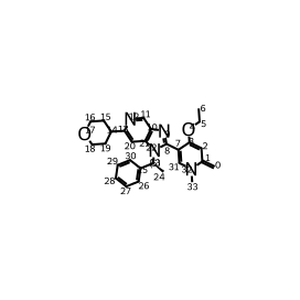 C=C1C=C(OCC)C(c2nc3cnc(C4CCOCC4)cc3n2[C@@H](C)c2ccccc2)=CN1C